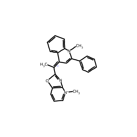 C/C(=C1/C=C(c2ccccc2)N(C)c2ccccc21)c1nc2c(ccc[n+]2C)o1